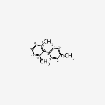 Cc1ccc(-c2c(C)[c]ccc2C)cc1